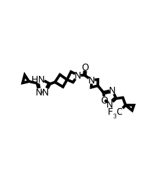 O=C(N1CC(c2nc(CC3(C(F)(F)F)CC3)no2)C1)N1CC2(CC(c3nnc(C4CC4)[nH]3)C2)C1